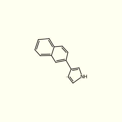 [c]1c[nH]cc1-c1ccc2ccccc2c1